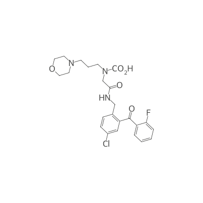 O=C(CN(CCCN1CCOCC1)C(=O)O)NCc1ccc(Cl)cc1C(=O)c1ccccc1F